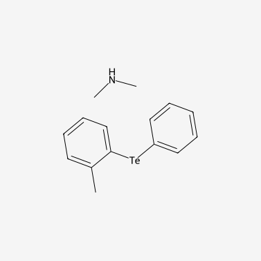 CNC.Cc1ccccc1[Te]c1ccccc1